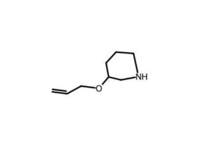 C=CCOC1CCCNC1